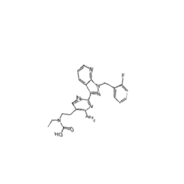 CCN(CCc1cnc(-c2nn(Cc3ccccc3F)c3ncccc23)nc1N)C(=O)O